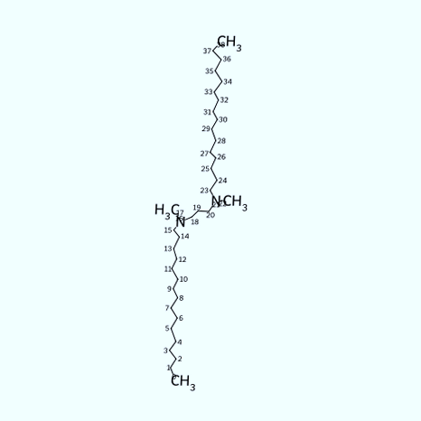 CCCCCCCCCCCCCCCCN(C)CCCN(C)CCCCCCCCCCCCCCCC